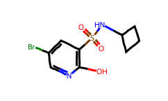 O=S(=O)(NC1CCC1)c1cc(Br)cnc1O